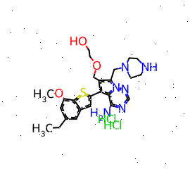 CCc1cc(OC)c2sc(-c3c(COCCO)c(CN4CCNCC4)n4ncnc(N)c34)cc2c1.Cl.Cl